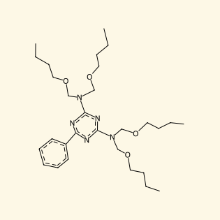 CCCCOCN(COCCCC)c1nc(-c2ccccc2)nc(N(COCCCC)COCCCC)n1